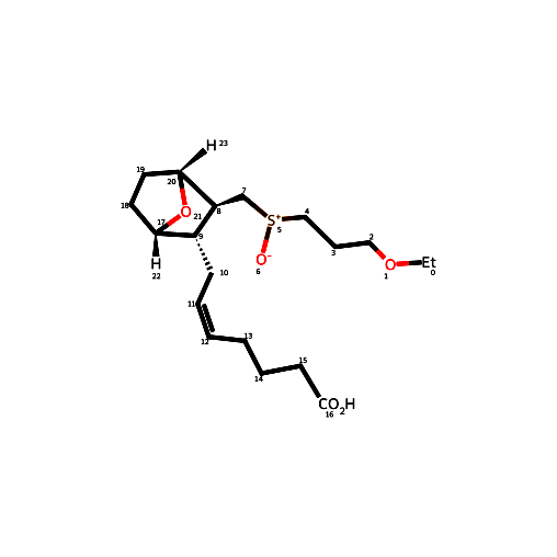 CCOCCC[S+]([O-])C[C@H]1[C@H](C/C=C\CCCC(=O)O)[C@@H]2CC[C@H]1O2